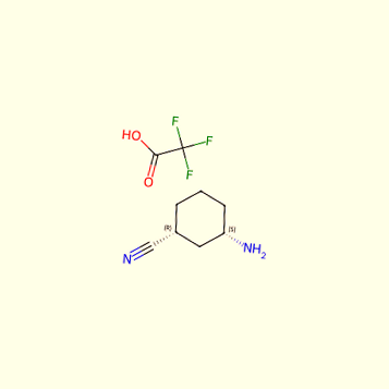 N#C[C@@H]1CCC[C@H](N)C1.O=C(O)C(F)(F)F